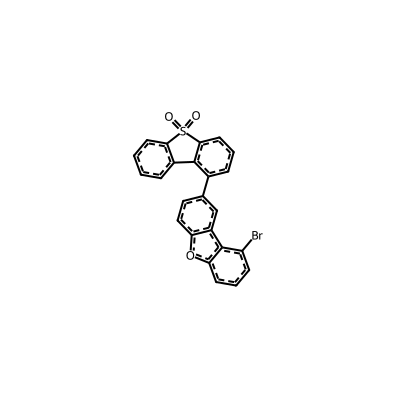 O=S1(=O)c2ccccc2-c2c(-c3ccc4oc5cccc(Br)c5c4c3)cccc21